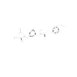 CCOc1ccc(COC(=O)NCc2cccc(CC(OC(C)C)C(=O)O)c2)cc1